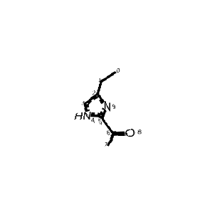 CCc1c[nH]c(C(C)=O)n1